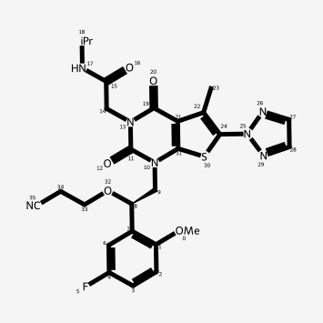 COc1ccc(F)cc1[C@H](Cn1c(=O)n(CC(=O)NC(C)C)c(=O)c2c(C)c(-n3nccn3)sc21)OCCC#N